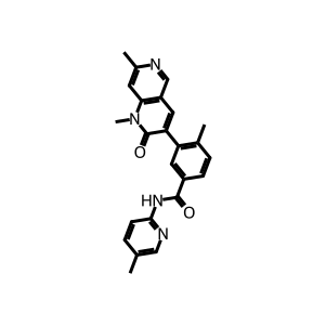 Cc1ccc(NC(=O)c2ccc(C)c(-c3cc4cnc(C)cc4n(C)c3=O)c2)nc1